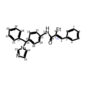 CC/C(=C\c1ccccc1)C(=O)Nc1ccc(C(c2ccccc2)n2ccnc2)cc1